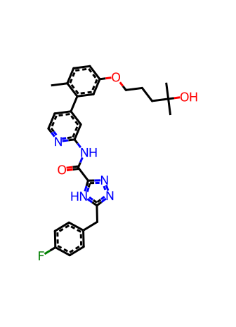 Cc1ccc(OCCCC(C)(C)O)cc1-c1ccnc(NC(=O)c2nnc(Cc3ccc(F)cc3)[nH]2)c1